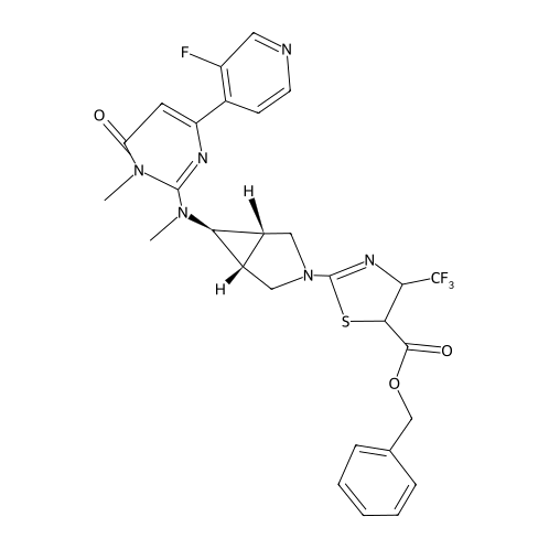 CN(c1nc(-c2ccncc2F)cc(=O)n1C)[C@H]1[C@@H]2CN(C3=NC(C(F)(F)F)C(C(=O)OCc4ccccc4)S3)C[C@@H]21